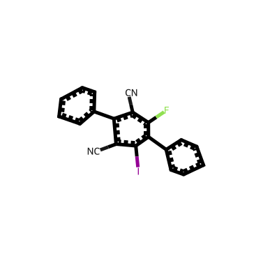 N#Cc1c(F)c(-c2ccccc2)c(I)c(C#N)c1-c1ccccc1